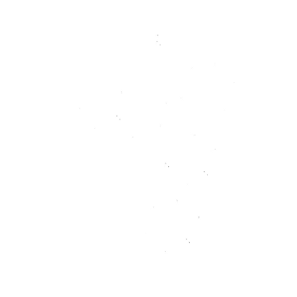 CC(C)(C)CN1CCCC(c2nc(-c3cccnc3)ncc2-c2cccc(C#N)c2)C1